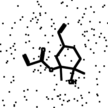 C=CC(=O)OC1(C)CC(C=C)CCC1(C)O